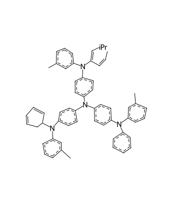 C/C=C\C(=C/C(C)C)N(c1ccc(N(c2ccc(N(c3ccccc3)c3cccc(C)c3)cc2)c2ccc(N(c3cccc(C)c3)C3C=CC=CC3)cc2)cc1)c1cccc(C)c1